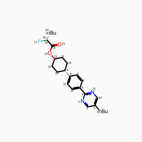 CCCCc1cnc(-c2ccc([C@H]3CC[C@H](OC(=O)[C@@H](F)[C@@H](C)CC)CC3)cc2)nc1